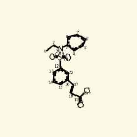 CCN(c1ccccc1)S(=O)(=O)c1cccc(C=CC(=O)Cl)c1